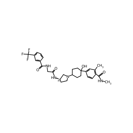 CNC(=O)c1ccc(C2(O)CCC(N3CC[C@@H](NC(=O)CNC(=O)c4cccc(C(F)(F)F)c4)C3)CC2)cc1C